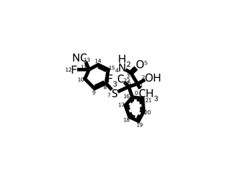 CC(O)(C(N)=O)C(SC1=CCC(F)(C#N)C=C1)(c1ccccc1)C(F)(F)F